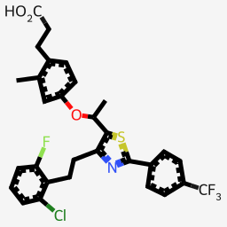 Cc1cc(OC(C)c2sc(-c3ccc(C(F)(F)F)cc3)nc2CCc2c(F)cccc2Cl)ccc1CCC(=O)O